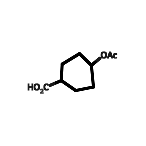 CC(=O)OC1CCC(C(=O)O)CC1